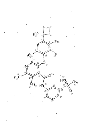 Cc1cc(C2(C)CCC2)c(F)c(F)c1Oc1nnc(C(F)(F)F)c(C)c1C(=O)Nc1cccc(S(C)(=N)=O)c1